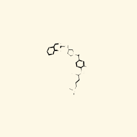 CN(C)C/C=C/C(O)Nc1ccc(C(=O)N2CC[C@@H](Nc3ncc4ccccc4n3)C2)cc1Cl